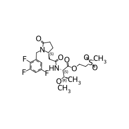 CO[C@H](C)[C@H](NC(=O)C[C@@H]1CCC(=O)N1Cc1cc(F)cc(F)c1F)C(=O)OCCS(C)(=O)=O